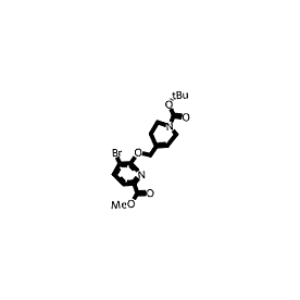 COC(=O)c1ccc(Br)c(OCC2=CCN(C(=O)OC(C)(C)C)CC2)n1